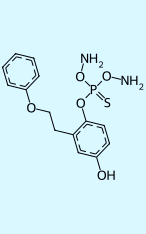 NOP(=S)(ON)Oc1ccc(O)cc1CCOc1ccccc1